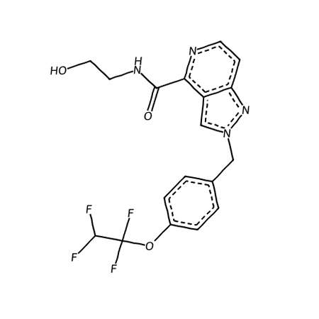 O=C(NCCO)c1nccc2nn(Cc3ccc(OC(F)(F)C(F)F)cc3)cc12